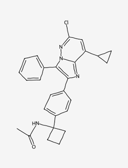 CC(=O)NC1(c2ccc(-c3nc4c(C5CC5)cc(Cl)nn4c3-c3ccccc3)cc2)CCC1